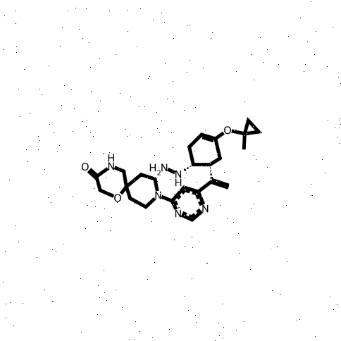 C=C(c1cc(N2CCC3(CC2)CNC(=O)CO3)ncn1)[C@H]1CC(OC2(C)CC2)=CC[C@H]1NN